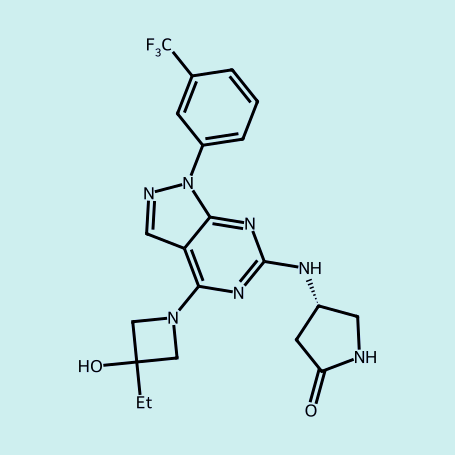 CCC1(O)CN(c2nc(N[C@@H]3CNC(=O)C3)nc3c2cnn3-c2cccc(C(F)(F)F)c2)C1